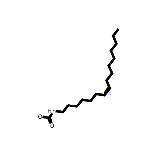 CCCCCCCC/C=C\CCCCC[CH2][InH][C](=O)[O-]